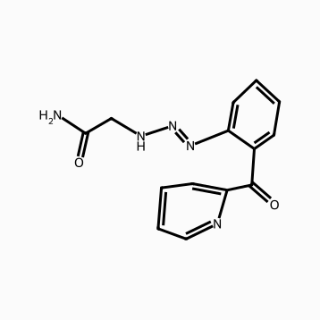 NC(=O)CNN=Nc1ccccc1C(=O)c1ccccn1